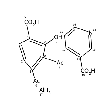 CC(=O)c1ccc(C(=O)O)c(O)c1C(C)=O.O=C(O)c1cccnc1.[AlH3]